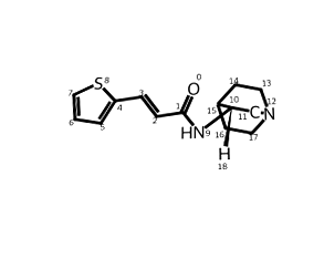 O=C(/C=C/c1cccs1)N[C@H]1CN2CCC1CC2